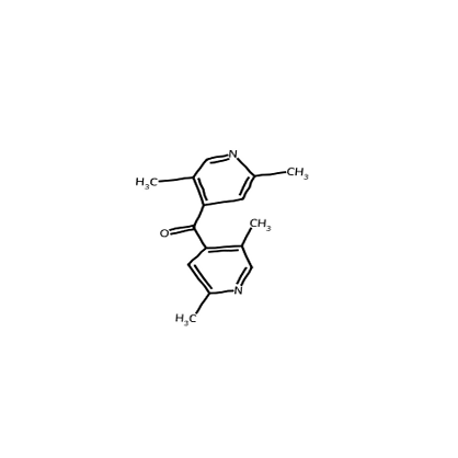 Cc1cc(C(=O)c2cc(C)ncc2C)c(C)cn1